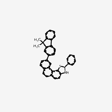 CC1(C)c2ccccc2-c2ccc(-c3ccc4ccc5ccc6c(c5c4c3)SC(c3ccccc3)N6)cc21